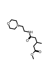 COC(=O)CC(C)CC(=O)NCCN1CCOCC1